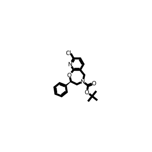 CC(C)(C)OC(=O)N1Cc2ccc(Cl)nc2O[C@H](c2ccccc2)C1